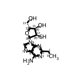 CCc1nc(N)c2ncn([C@@H]3O[C@H](CO)[C@@H](O)[C@H]3S)c2n1